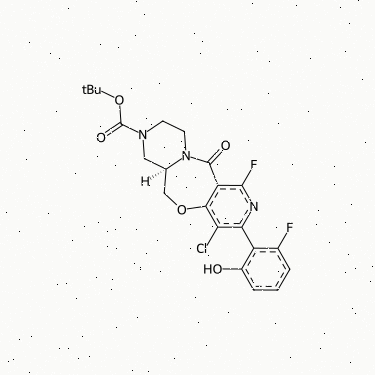 CC(C)(C)OC(=O)N1CCN2C(=O)c3c(F)nc(-c4c(O)cccc4F)c(Cl)c3OC[C@H]2C1